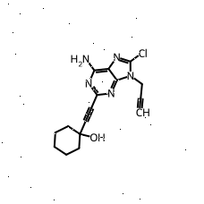 C#CCn1c(Cl)nc2c(N)nc(C#CC3(O)CCCCC3)nc21